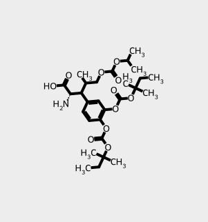 CCC(C)(C)OC(=O)Oc1ccc(C(C(C)COC(=O)OC(C)C)[C@H](N)C(=O)O)cc1OC(=O)OC(C)(C)CC